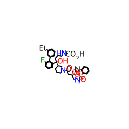 CCc1cccc(-c2c(F)cccc2C(O)(CCCNC(=O)O)[C@@H]2CCCN(C(=O)CC(O)CN(C)S(=O)(=O)c3ccccc3[N+](=O)[O-])C2)c1